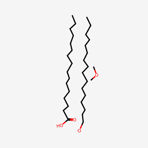 CCCCCCCCCCCCCCCC(=O)O.CCCCCCCCCCCCCCCC[O].COC